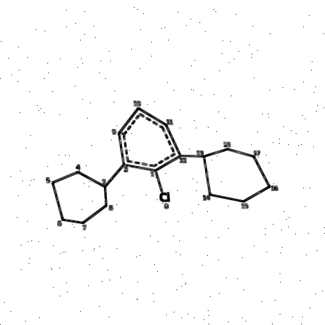 Clc1c(C2CCCCC2)[c]ccc1C1CCCCC1